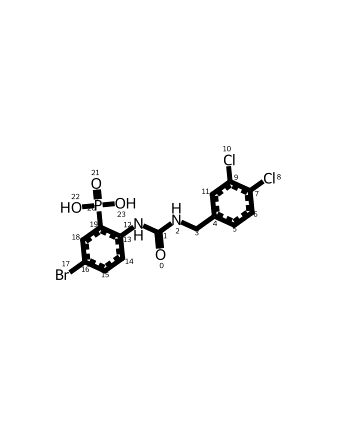 O=C(NCc1ccc(Cl)c(Cl)c1)Nc1ccc(Br)cc1P(=O)(O)O